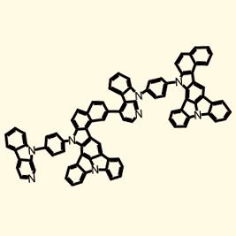 c1ccc2c(c1)ccc1c2c2cc3c4ccccc4n4c5ccccc5c(c2n1-c1ccc(-n2c5ccccc5c5c(-c6ccc7ccc8c(c7c6)c6cc7c9ccccc9n9c%10ccccc%10c(c6n8-c6ccc(-n8c%10ccccc%10c%10ccncc%108)cc6)c79)ccnc52)cc1)c34